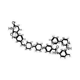 Cc1ccc(NC(=O)c2ccc(N3CCC(N4CCN(Cc5ccc(C6CCC(=O)NC6=O)c(F)c5)CC4)CC3)cc2)cc1Nc1nccc(-c2cccnc2)n1